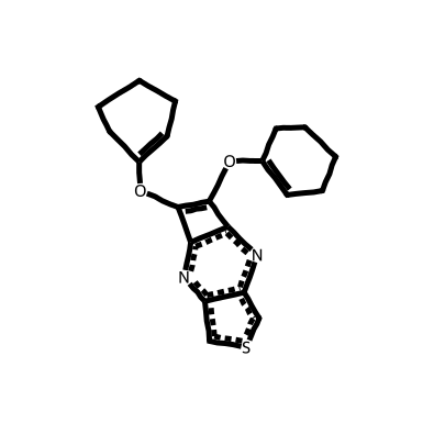 C1=C(OC2=C(OC3=CCCCC3)c3nc4cscc4nc32)CCCC1